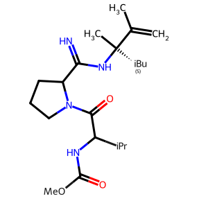 C=C(C)C(C)(NC(=N)C1CCCN1C(=O)C(NC(=O)OC)C(C)C)[C@@H](C)CC